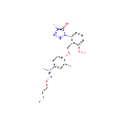 CCCCON=C(C)c1ccc(OCc2c(OC)cccc2-n2nnn(C)c2=O)c(C)c1